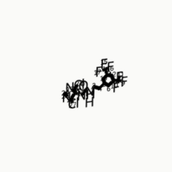 O=C(N/C=C/c1cc(C(F)(F)F)cc(C(F)(F)F)c1)Nc1c(Cl)ncnc1Cl